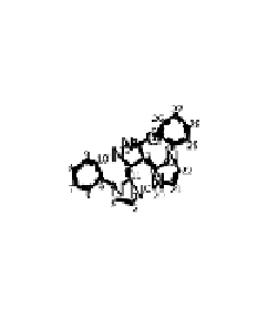 CN1C=CN(c2ccccc2)C1=C1[N]N=C(Cl)C1=C1N(C)C=CN1c1ccccc1